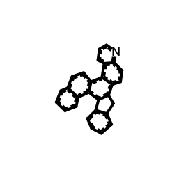 c1ccc2c(c1)Cc1c-2c2c3ccccc3ccc2c2c1ccc1ncccc12